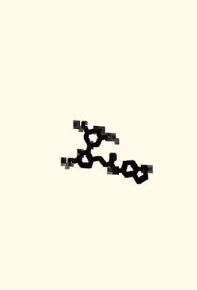 CC1CN(c2nc(C(F)(F)F)ccc2CCC(=O)Nc2ccc3[nH]ccc3c2)CC(C)N1